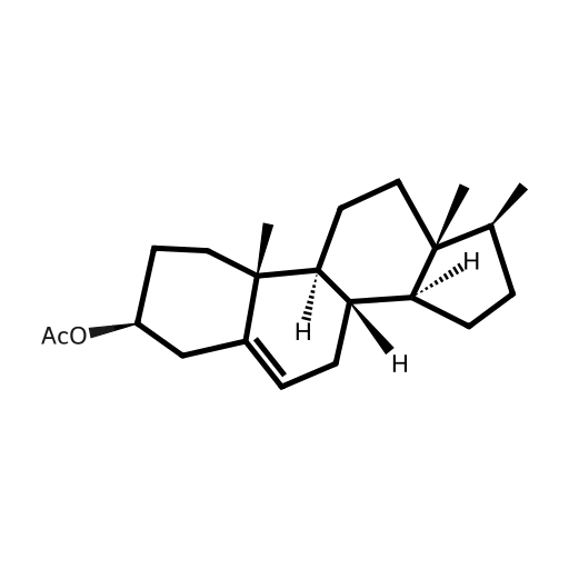 CC(=O)O[C@H]1CC[C@@]2(C)C(=CC[C@H]3[C@@H]4CC[C@H](C)[C@@]4(C)CC[C@@H]32)C1